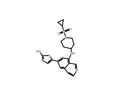 O=S(=O)(C1CC1)N1CCC(Nc2cc(-c3cnc(O)s3)cc3ccncc23)CC1